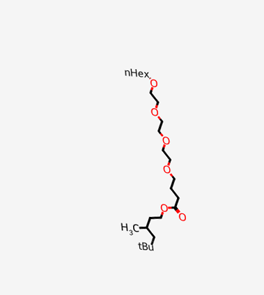 CCCCCCOCCOCCOCCOCCCC(=O)OCCC(C)CC(C)(C)C